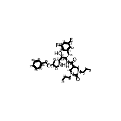 CCCN1CC(C(=O)N[C@@H](Cc2cc(F)cc(F)c2)[C@H](O)[C@H]2C[C@@H](OCc3ccccc3)CN2)CN(CCC)C1=O